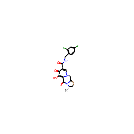 CC[C@H]1CSC2Cn3cc(C(=O)NCc4ccc(F)cc4F)c(=O)c(O)c3C(=O)N21